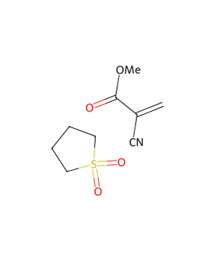 C=C(C#N)C(=O)OC.O=S1(=O)CCCC1